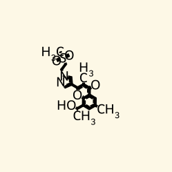 Cc1cc([C@H](C)O)c2oc(-c3cnn(CCS(C)(=O)=O)c3)c(C)c(=O)c2c1